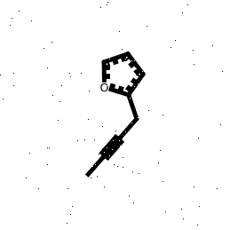 CC#CCc1ccco1